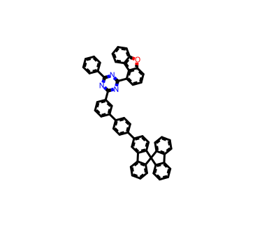 c1ccc(-c2nc(-c3cccc(-c4ccc(-c5ccc6c(c5)-c5ccccc5C65c6ccccc6-c6ccccc65)cc4)c3)nc(-c3cccc4oc5ccccc5c34)n2)cc1